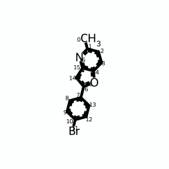 Cc1ccc2oc(-c3ccc(Br)cc3)cc2n1